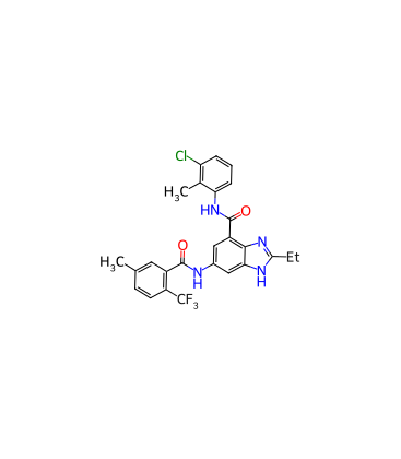 CCc1nc2c(C(=O)Nc3cccc(Cl)c3C)cc(NC(=O)c3cc(C)ccc3C(F)(F)F)cc2[nH]1